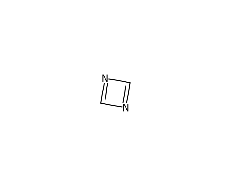 C1=NC=N1